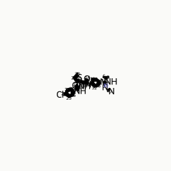 N#C/N=C1\NCCN1c1ccc(NC(=O)[C@@H](NC(=O)Nc2ccc(Cl)cc2)c2cccs2)cc1